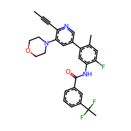 CC#Cc1ncc(-c2cc(NC(=O)c3cccc(C(C)(F)F)c3)c(F)cc2C)cc1N1CCOCC1